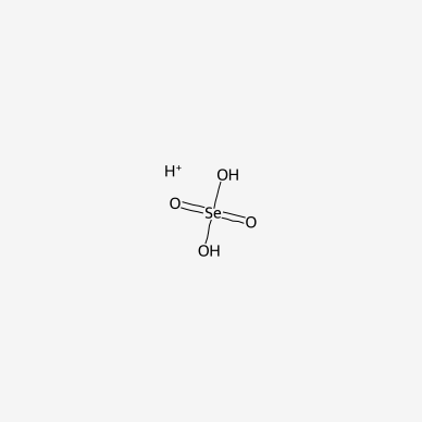 O=[Se](=O)(O)O.[H+]